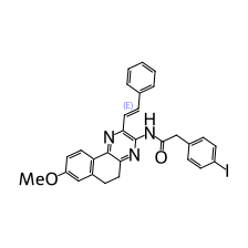 COc1ccc2c(c1)CCc1nc(NC(=O)Cc3ccc(I)cc3)c(/C=C/c3ccccc3)nc1-2